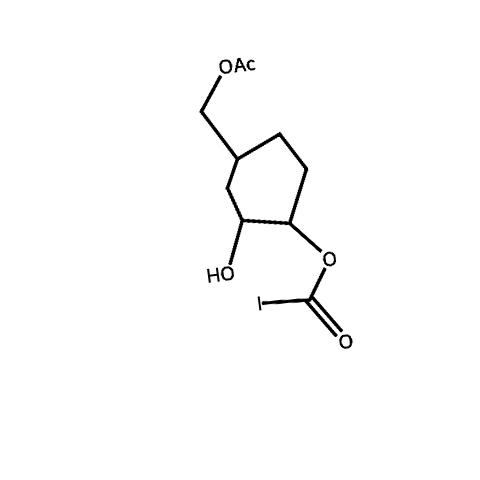 CC(=O)OCC1CCC(OC(=O)I)C(O)C1